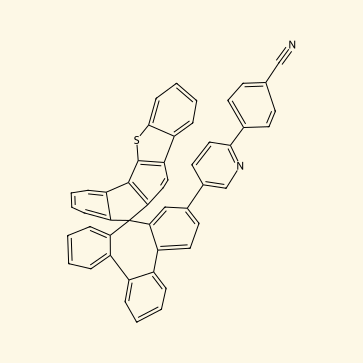 N#Cc1ccc(-c2ccc(-c3ccc4c(c3)C3(c5ccccc5-c5ccccc5-4)c4ccccc4-c4c3ccc3c4sc4ccccc43)cn2)cc1